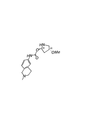 CO[C@H]1CN[C@H](OC(=O)Nc2ccc3c(c2)CCN(C)C3)C1